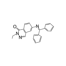 CCn1ncc2cc(N=C(c3ccccc3)c3ccccc3)ccc2c1=O